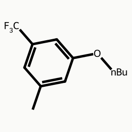 CCCCOc1cc(C)cc(C(F)(F)F)c1